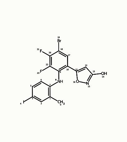 Cc1cc(I)ccc1Nc1c(-c2cc(O)no2)cc(Br)c(F)c1F